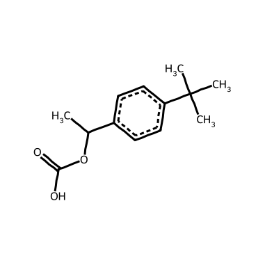 CC(OC(=O)O)c1ccc(C(C)(C)C)cc1